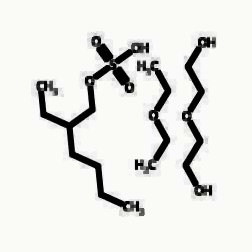 CCCCC(CC)COS(=O)(=O)O.CCOCC.OCCOCCO